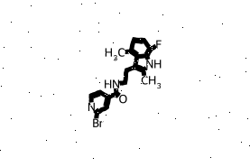 Cc1[nH]c2c(F)ccc(C)c2c1CCNC(=O)c1ccnc(Br)c1